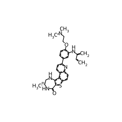 C=CC(=C)Nc1cc(-c2ccc3c(ccc4sc5c(c43)NC[C@@H](C)NC5=O)n2)ccc1OCCN(C)C